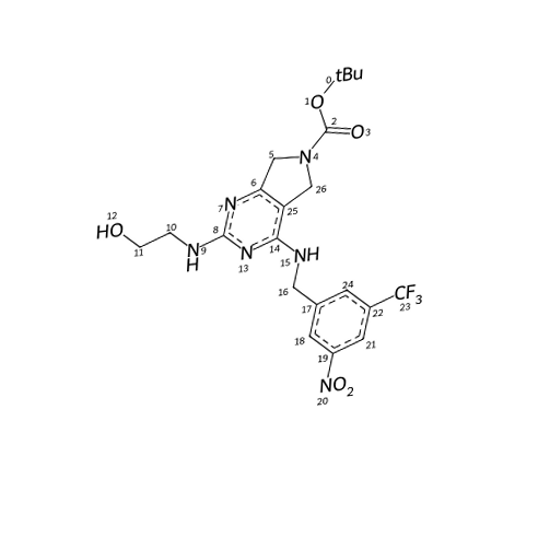 CC(C)(C)OC(=O)N1Cc2nc(NCCO)nc(NCc3cc([N+](=O)[O-])cc(C(F)(F)F)c3)c2C1